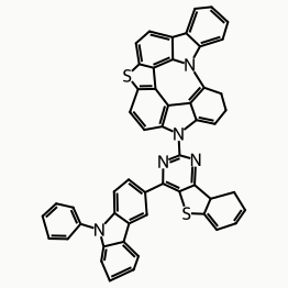 C1=CCC2C(=C1)Sc1c(-c3ccc4c(c3)c3ccccc3n4-c3ccccc3)nc(-n3c4c5c(n6c7ccccc7c7ccc8sc9ccc3c5c9c8c76)CCC=4)nc12